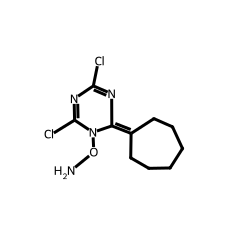 NON1C(Cl)=NC(Cl)=NC1=C1CCCCCC1